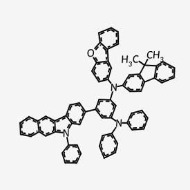 CC1(C)c2ccccc2-c2ccc(N(c3cc(-c4ccc5c6cc7ccccc7cc6n(-c6ccccc6)c5c4)cc(N(c4ccccc4)c4ccccc4)c3)c3ccc4oc5ccccc5c4c3)cc21